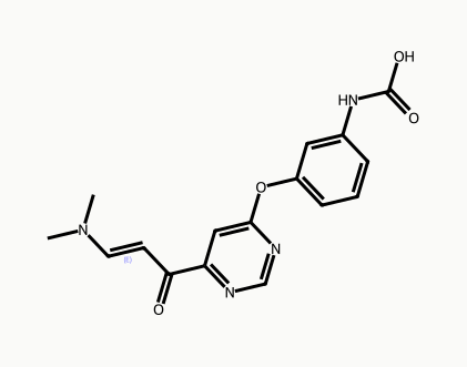 CN(C)/C=C/C(=O)c1cc(Oc2cccc(NC(=O)O)c2)ncn1